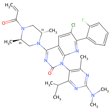 C=CC(=O)N1C[C@H](C)N(c2nc(=O)n(-c3c(C)nc(N(C)C)nc3C(C)C)c3nc(-c4ccccc4F)c(Cl)cc23)C[C@H]1C